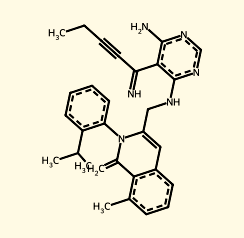 C=C1c2c(C)cccc2C=C(CNc2ncnc(N)c2C(=N)C#CCC)N1c1ccccc1C(C)C